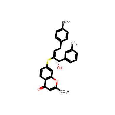 CCCCCCCCCc1ccc(CC=C(Sc2ccc3c(=O)cc(C(=O)O)oc3c2)[C@@H](O)c2cccc(C(F)(F)F)c2)cc1